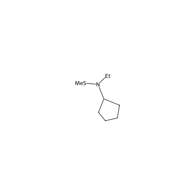 CCN(SC)C1CCCC1